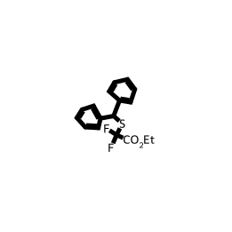 CCOC(=O)C(F)(F)SC(c1ccccc1)c1ccccc1